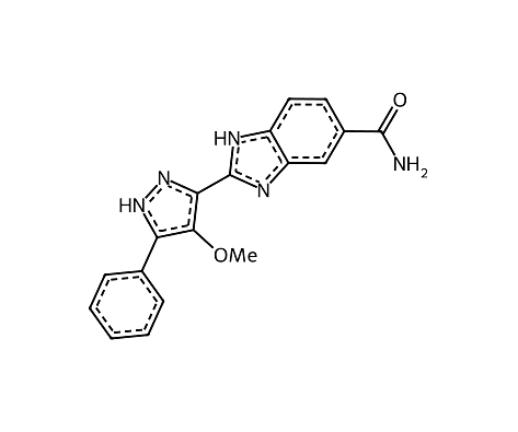 COc1c(-c2nc3cc(C(N)=O)ccc3[nH]2)n[nH]c1-c1ccccc1